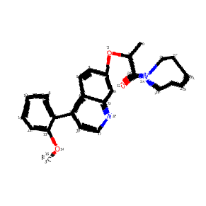 CC(Oc1ccc2c(-c3ccccc3OC(F)(F)F)ccnc2c1)C(=O)N1CCCCC1